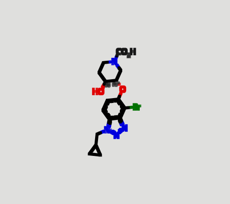 O=C(O)N1CC[C@H](O)[C@@H](Oc2ccc3c(nnn3CC3CC3)c2Br)C1